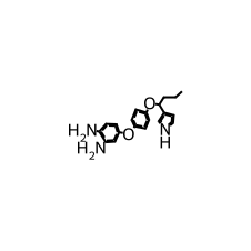 CCCC(Oc1ccc(Oc2ccc(N)c(N)c2)cc1)c1cc[nH]c1